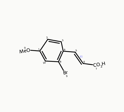 COc1ccc(/C=C/C(=O)O)c(Br)c1